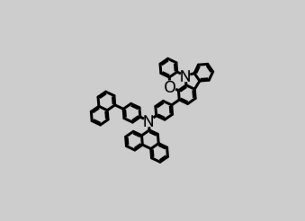 c1ccc2c(c1)Oc1c(-c3ccc(N(c4ccc(-c5cccc6ccccc56)cc4)c4cc5ccccc5c5ccccc45)cc3)ccc3c4ccccc4n-2c13